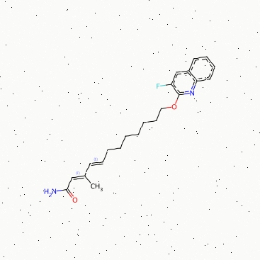 CC(/C=C/CCCCCCCOc1nc2ccccc2cc1F)=C\C(N)=O